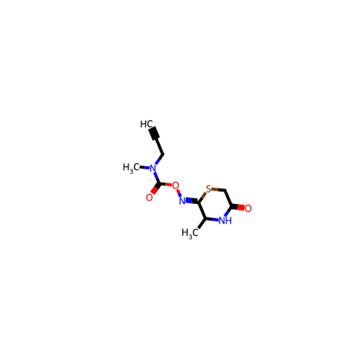 C#CCN(C)C(=O)ON=C1SCC(=O)NC1C